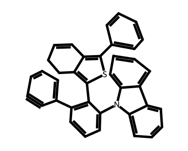 c1cccc(-c2cccc(-n3c4ccccc4c4ccccc43)c2-c2sc(-c3ccccc3)c3c2CCC=C3)c#1